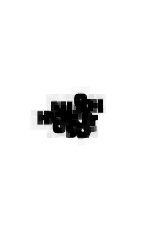 CS(=O)(=O)O.Cc1ccc2sc(C(=O)NC(=N)N)cc2c1Br